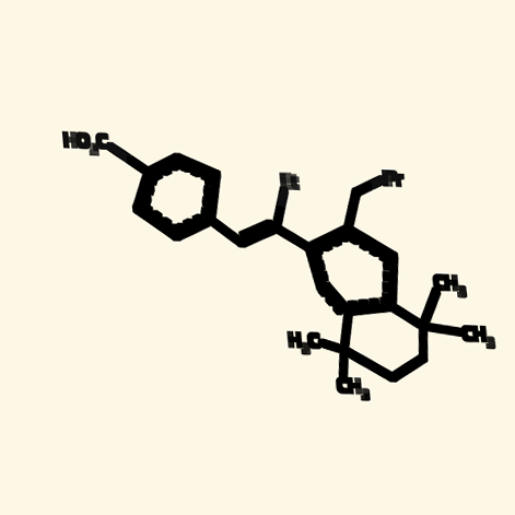 CCC(=Cc1ccc(C(=O)O)cc1)c1cc2c(cc1CC(C)C)C(C)(C)CCC2(C)C